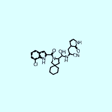 N#CC(CC1CCNC1=O)NC(O)C1CC2(CCCCC2)CN1C(=O)c1cc2cccc(Cl)c2[nH]1